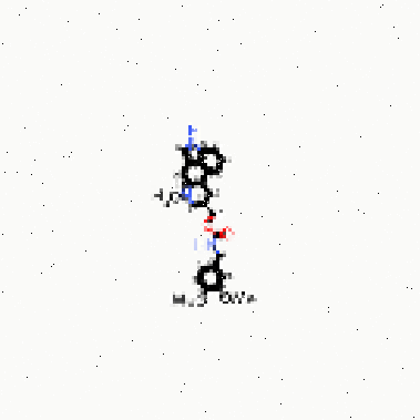 COc1ccc(CNC(=O)OC[C@@H]2CC3c4cccc5[nH]cc(c45)C[C@H]3N(C)C2)cc1OC